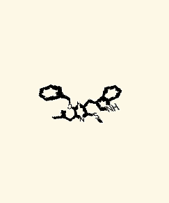 CSc1nc(CC(C)C)c(OCc2ccccc2)nc1Cc1c[nH]c2ccccc12